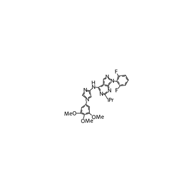 COc1cc(-n2cnc(Nc3nc(C(C)C)nc4c3cnn4-c3c(F)cccc3F)c2)cc(OC)c1OC